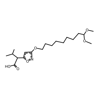 COC(CCCCCCCCOc1cc(C(C(=O)O)C(C)C)on1)OC